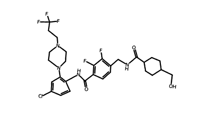 O=C(Nc1ccc(Cl)cc1N1CCN(CCC(F)(F)F)CC1)c1ccc(CNC(=O)C2CCC(CO)CC2)c(F)c1F